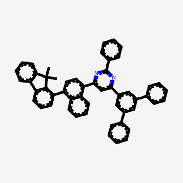 CC1(C)c2ccccc2-c2cccc(-c3ccc(-c4cc(-c5cc(-c6ccccc6)cc(-c6ccccc6)c5)nc(-c5ccccc5)n4)c4ccccc34)c21